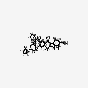 CC1(C)c2cc(N3CCC(n4cccc4)CC3)c(S(=O)(=O)N3CCCC3)cc2C(=O)c2c1[nH]c1cc(C#N)ccc21